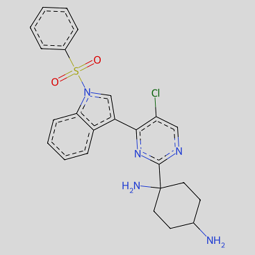 NC1CCC(N)(c2ncc(Cl)c(-c3cn(S(=O)(=O)c4ccccc4)c4ccccc34)n2)CC1